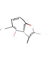 CC(=O)c1ccc2oc(C(=O)O)c(C)c2c1O